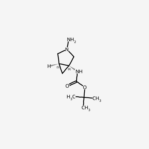 CC(C)(C)OC(=O)N[C@]12C[C@H]1CN(N)C2